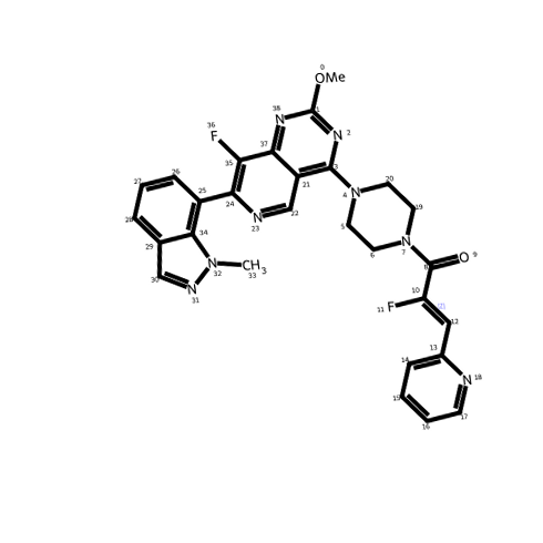 COc1nc(N2CCN(C(=O)/C(F)=C/c3ccccn3)CC2)c2cnc(-c3cccc4cnn(C)c34)c(F)c2n1